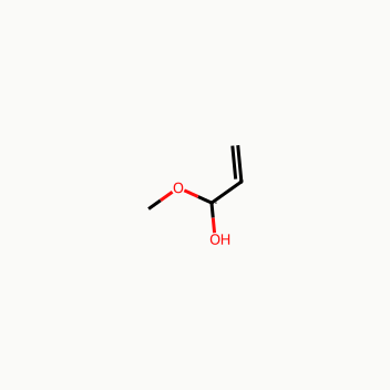 C=C[C](O)OC